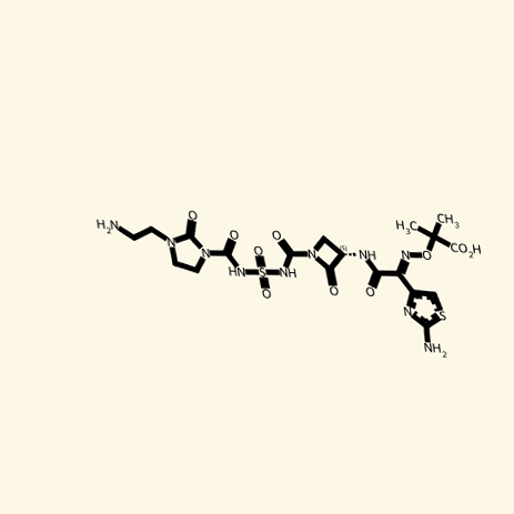 CC(C)(ON=C(C(=O)N[C@H]1CN(C(=O)NS(=O)(=O)NC(=O)N2CCN(CCN)C2=O)C1=O)c1csc(N)n1)C(=O)O